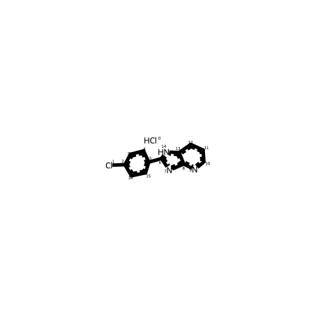 Cl.Clc1ccc(-c2nc3ncccc3[nH]2)cc1